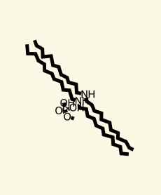 CCCCCCCCCCCCNCCCCCCCCCCCC.CCCCCCCCCCCCNCCCCCCCCCCCC.COP(=O)(O)O